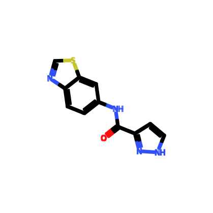 O=C(Nc1ccc2ncsc2c1)c1cc[nH]n1